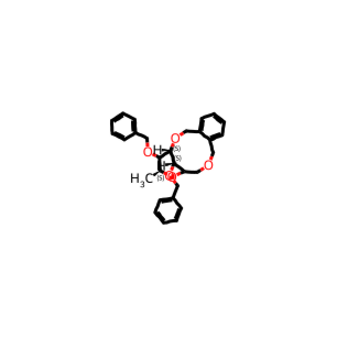 C[C@@H]1OC2COCc3ccccc3CO[C@@H](C1OCc1ccccc1)[C@H]2OCc1ccccc1